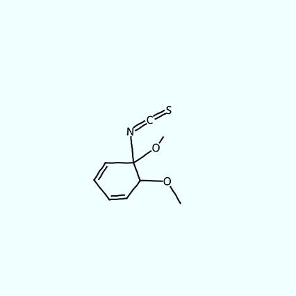 COC1C=CC=CC1(N=C=S)OC